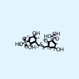 O=S(=O)(O)c1cc(O)cc(CSCc2cc(O)cc(S(=O)(=O)O)c2O)c1O